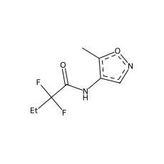 CCC(F)(F)C(=O)Nc1cnoc1C